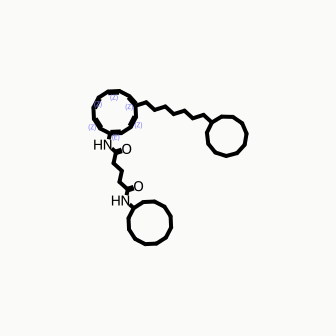 O=C(CCCC(=O)NC1CCCCCCCCCCC1)NC1=C/C=C\C(CCCCCCCC2CCCCCCCCCC2)=C/C=C\C=C/C=C\1